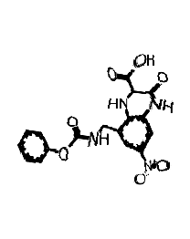 O=C(NCc1cc([N+](=O)[O-])cc2c1NC(C(=O)O)C(=O)N2)Oc1ccccc1